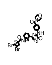 Cc1c(NC(=O)c2cc(Br)c(Br)s2)cccc1-c1cn(C)c(=O)c(Nc2ccc(C(=O)N3CCOCC3)cc2)n1